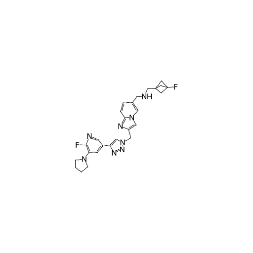 Fc1ncc(-c2cn(Cc3cn4cc(CNCC56CC(F)(C5)C6)ccc4n3)nn2)cc1N1CCCC1